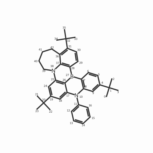 CC(C)(C)c1ccc2c(c1)N(c1ccccc1)c1cc(C(C)(C)C)cc3c1B2c1ccc(C(C)(C)C)c2c1N3CCCC2